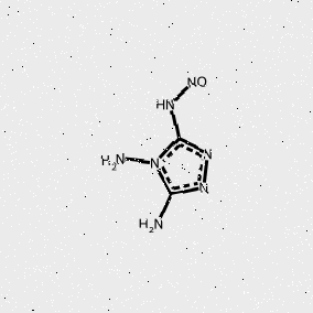 Nc1nnc(NN=O)n1N